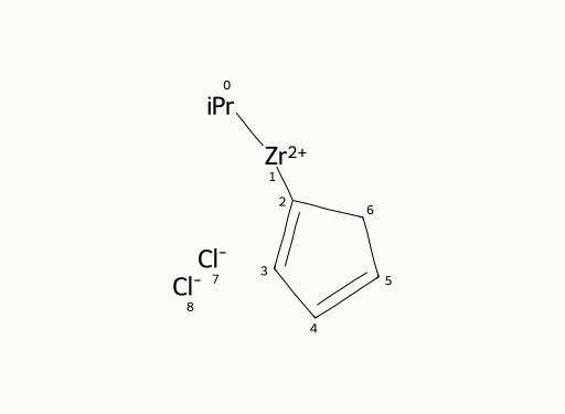 C[CH](C)[Zr+2][C]1=CC=CC1.[Cl-].[Cl-]